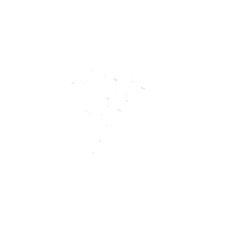 C=CC(=O)N1CCC(N(C)c2nnc(C(N)=O)c(Nc3cc(C)ns3)n2)C1